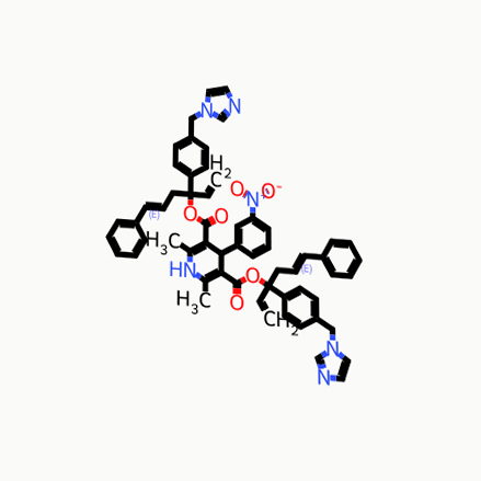 C=CC(C/C=C/c1ccccc1)(OC(=O)C1=C(C)NC(C)=C(C(=O)OC(C=C)(C/C=C/c2ccccc2)c2ccc(Cn3ccnc3)cc2)C1c1cccc([N+](=O)[O-])c1)c1ccc(Cn2ccnc2)cc1